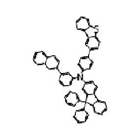 c1ccc(C2(c3ccccc3)c3ccccc3-c3ccc(N(c4ccc(-c5ccc6sc7ccccc7c6c5)cc4)c4cccc(-c5ccc6ccccc6c5)c4)cc32)cc1